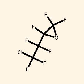 FC(F)(Cl)C(F)(F)C1(F)OC1(F)F